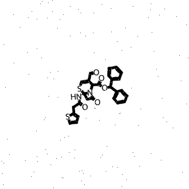 O=CC1=CS[C@]2(NC(=O)Cc3cccs3)CC(=O)N2C1C(=O)OC(c1ccccc1)c1ccccc1